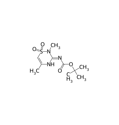 CC1=CS(=O)(=O)N(C)C(=NC(=O)OC(C)(C)C)N1